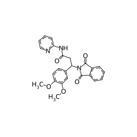 COc1ccc(C(CC(=O)Nc2ccccn2)N2C(=O)c3ccccc3C2=O)cc1OC